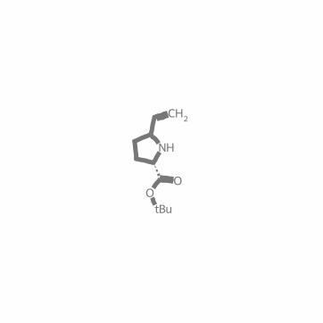 C=CC1CC[C@@H](C(=O)OC(C)(C)C)N1